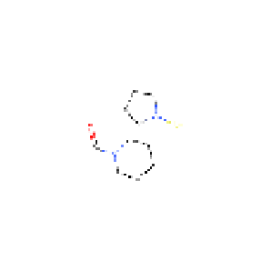 O=CN1CCCCC1.SN1CCCC1